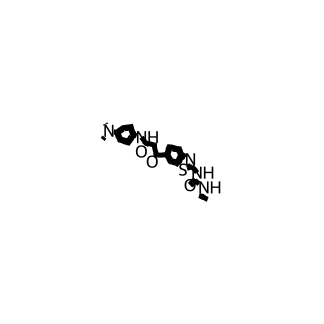 CCNC(=O)Nc1nc2ccc(C(=O)CC(=O)Nc3ccc(N(C)C)cc3)cc2s1